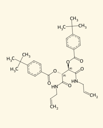 C=CCNC(=O)[C@H](OC(=O)c1ccc(C(C)(C)C)cc1)[C@@H](OC(=O)c1ccc(C(C)(C)C)cc1)C(=O)NCC=C